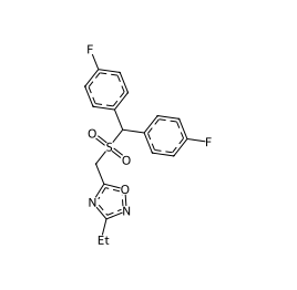 CCc1noc(CS(=O)(=O)C(c2ccc(F)cc2)c2ccc(F)cc2)n1